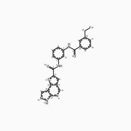 O=C(Nc1cccc(NC(=O)c2cc3cnc4[nH]ncc4c3s2)c1)c1cccc(CF)c1